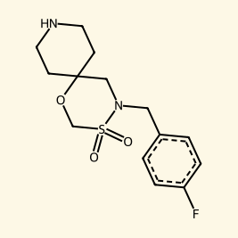 O=S1(=O)COC2(CCNCC2)CN1Cc1ccc(F)cc1